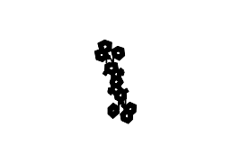 Cc1cc(N(c2ccccc2)c2cccc3ccccc23)cc2c1-c1cc3c(cc1C2(C)C)-c1c(C)cc(N(c2ccccc2)c2cccc4ccccc24)cc1C3(C)C